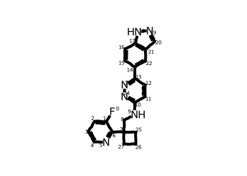 Fc1cccnc1C1(CNc2ccc(-c3ccc4[nH]ncc4c3)nn2)CCC1